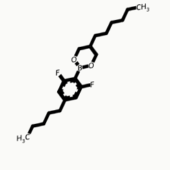 CCCCCCC1COB(c2c(F)cc(CCCCC)cc2F)OC1